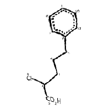 O=C(O)C(Cl)CCCc1ccccc1